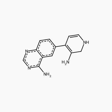 NC1=C(c2ccc3ncnc(N)c3c2)C=CNC1